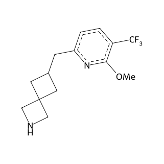 COc1nc(CC2CC3(CNC3)C2)ccc1C(F)(F)F